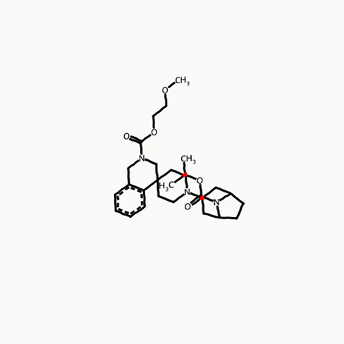 COCCOC(=O)N1Cc2ccccc2C2(CCN(C3CC4CCC(C3)N4C(=O)OC(C)C)CC2)C1